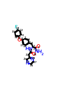 NC(=O)C(Cc1ccc(Oc2ccc(F)cc2)cc1)NC(=O)Cc1cnccn1